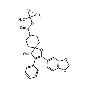 CC(C)(C)OC(=O)N1CCC2(CC1)OC(c1ccc3c(c1)OCO3)=C(c1ccccn1)C2=O